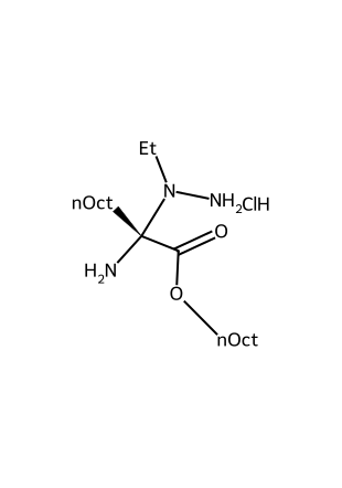 CCCCCCCCOC(=O)[C@@](N)(CCCCCCCC)N(N)CC.Cl